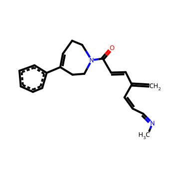 C=C(/C=C\C=N/C)/C=C/C(=O)N1CCC=C(c2ccccc2)CC1